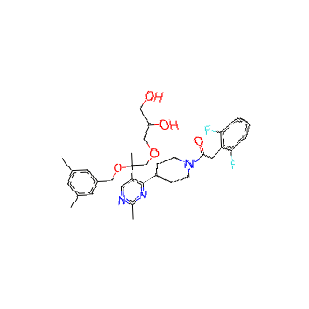 Cc1cc(C)cc(COC(C)(COCC(O)CO)c2cnc(C)nc2C2CCN(C(=O)Cc3c(F)cccc3F)CC2)c1